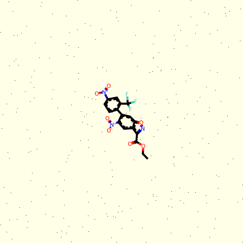 CCOC(=O)c1noc2cc(-c3ccc([N+](=O)[O-])cc3C(F)(F)F)c([N+](=O)[O-])cc12